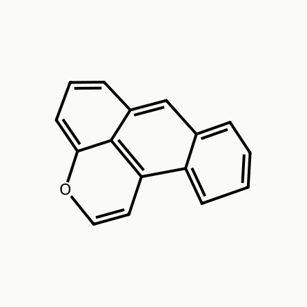 C1=Cc2c3ccccc3cc3cccc(c23)O1